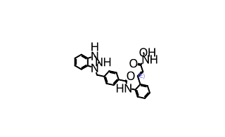 O=C(/C=C/c1ccccc1NC(=O)c1ccc(CN2NNc3ccccc32)cc1)NO